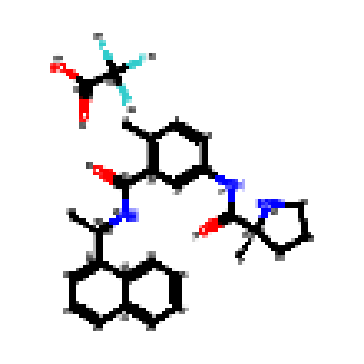 Cc1ccc(NC(=O)[C@]2(C)CCCN2)cc1C(=O)N[C@H](C)c1cccc2ccccc12.O=C(O)C(F)(F)F